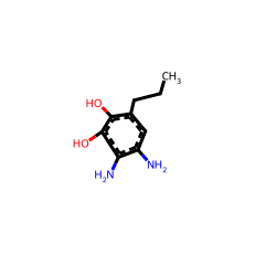 CCCc1cc(N)c(N)c(O)c1O